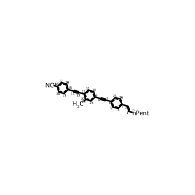 CCCCC/C=C/c1ccc(C#Cc2ccc(C#Cc3ccc(C#N)cc3)c(C)c2)cc1